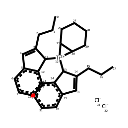 CCCC1=Cc2ccccc2[CH]1[Ti+2]1([CH]2C(CCC)=Cc3ccccc32)[CH]2CCCC[CH]21.[Cl-].[Cl-]